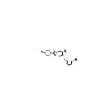 CC(C)(O)c1c(NC(=O)c2cccc(C3CC3)n2)cn2cc(C3CCC(CO)CC3)nc2c1F